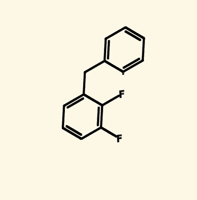 Fc1cccc(Cc2[c]cccc2)c1F